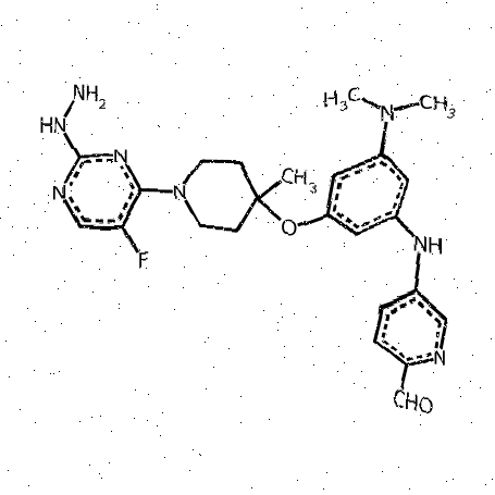 CN(C)c1cc(Nc2ccc(C=O)nc2)cc(OC2(C)CCN(c3nc(NN)ncc3F)CC2)c1